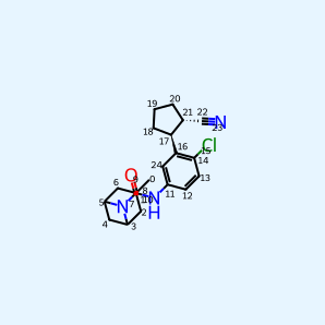 CC1CC2CC(C1)N2C(=O)Nc1ccc(Cl)c([C@H]2CCC[C@@H]2C#N)c1